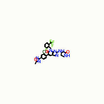 Cc1nc(-c2ccc(-c3cc4cnc(NC5CCNC(=O)C5)nc4n(Cc4c(F)cccc4C(F)(F)F)c3=O)c(Cl)c2)no1